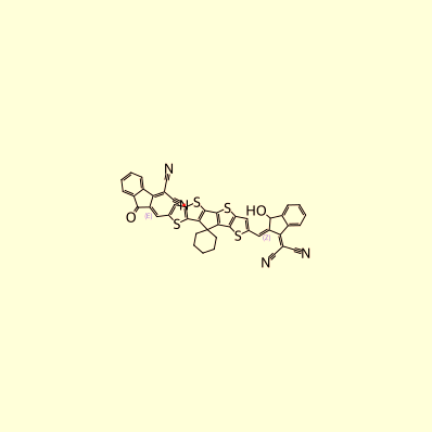 N#CC(C#N)=C1/C(=C\c2cc3sc4c(c3s2)C2(CCCCC2)c2c-4sc3cc(/C=C4/C(=C(C#N)C#N)c5ccccc5C4O)sc23)C(=O)c2ccccc21